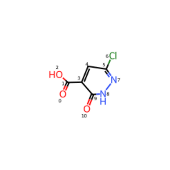 O=C(O)c1cc(Cl)n[nH]c1=O